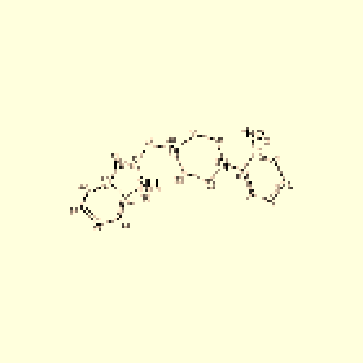 O=[N+]([O-])c1ccccc1N1CCN(Cc2nc3ccccc3[nH]2)CC1